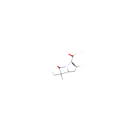 CC1(CO)C(=O)N2C(C(=O)O)=C(S)CC21